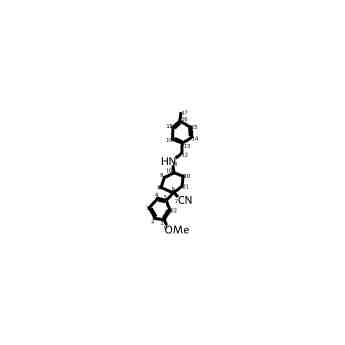 COc1cccc(C2(C#N)CCC(NCc3ccc(C)cc3)CC2)c1